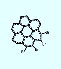 Brc1c(Br)c2c(Br)c(Br)c3ccc4ccc5ccc6ccc1c1c6c5c4c3c21